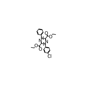 CCOC(=O)C1=NN(c2ccc(Cl)cc2)C(C(=O)OCC)=NN1c1ccccc1